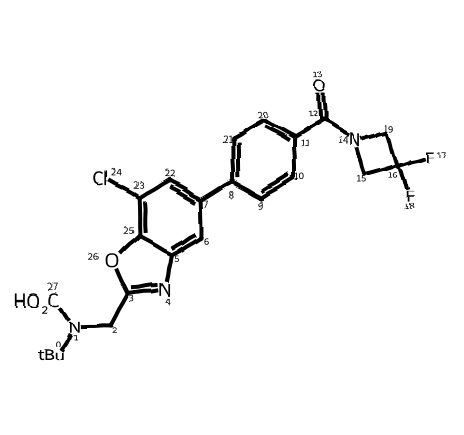 CC(C)(C)N(Cc1nc2cc(-c3ccc(C(=O)N4CC(F)(F)C4)cc3)cc(Cl)c2o1)C(=O)O